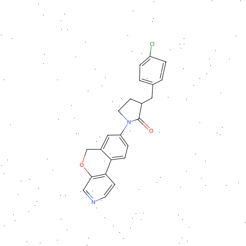 O=C1C(Cc2ccc(Cl)cc2)CCN1c1ccc2c(c1)COc1cnccc1-2